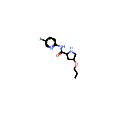 CCCOC1CNC(C(=O)Nc2ccc(Cl)cn2)C1